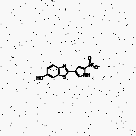 O=[N+]([O-])c1cc(-c2nc3ccc(O)cc3s2)c[nH]1